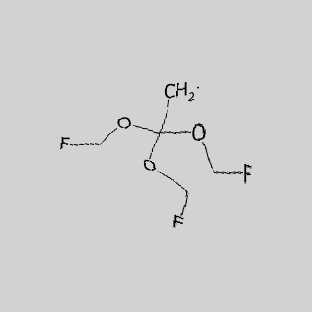 [CH2]C(OCF)(OCF)OCF